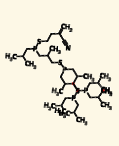 C=C(C#N)CCSP(CC(C)C)CC(C)CSP(CC(C)CSP(CC(C)C)CC(C)C)CC(C)CSP(CC(C)C)CC(C)C